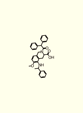 COc1ccc2c(c1NC(C)c1ccccc1)CC(C(=O)O)N(C(=O)C(c1ccccc1)c1ccccc1)C2